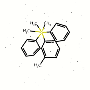 Cc1cccc(S(C)(C)(C)(c2ccccc2)c2ccccc2)c1